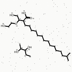 CC(C)CCCCCCCCCCCCCC(C(=O)O)C(CO)OCCO.CCC(O)C(C)O